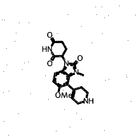 COc1ccc2c(c1C1=CCNCC1)n(C)c(=O)n2C1CCC(=O)NC1=O